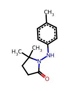 Cc1ccc(NN2C(=O)CCC2(C)C)cc1